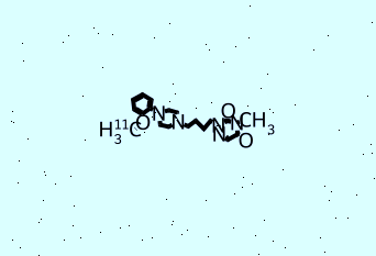 Cn1c(=O)cnn(CCCCN2CCN(c3ccccc3O[11CH3])CC2)c1=O